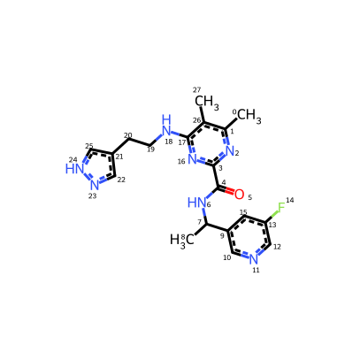 Cc1nc(C(=O)NC(C)c2cncc(F)c2)nc(NCCc2cn[nH]c2)c1C